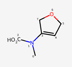 CN(C(=O)O)C1=CCOC1